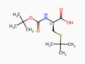 CC(C)(C)OC(=O)N[C@H](CSC(C)(C)C)C(=O)O